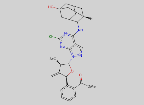 C=C1[C@H](c2ccccc2C(=O)OC)O[C@@H](n2ncc3c(NC4C5CC6C[C@H]4CC(O)(C6)C5)nc(Cl)nc32)[C@@H]1OC(C)=O